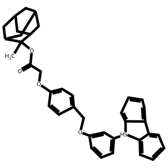 CC1(OC(=O)COc2ccc(COc3cccc([SH]4c5ccccc5-c5ccccc54)c3)cc2)C2CC3CC(C2)CC1C3